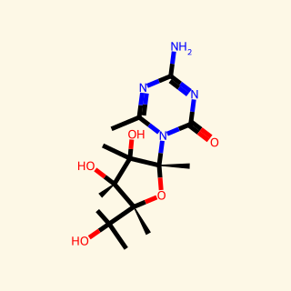 Cc1nc(N)nc(=O)n1[C@]1(C)O[C@](C)(C(C)(C)O)[C@](C)(O)C1(C)O